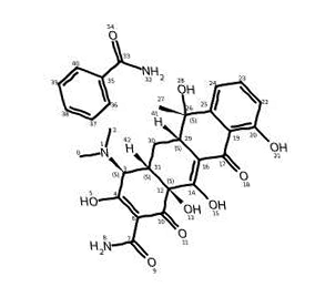 CN(C)[C@@H]1C(O)=C(C(N)=O)C(=O)[C@@]2(O)C(O)=C3C(=O)c4c(O)cccc4[C@@](C)(O)[C@H]3C[C@@H]12.NC(=O)c1ccccc1